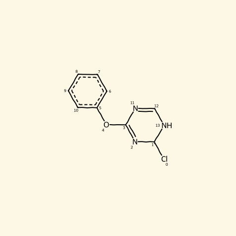 Cl[C]1N=C(Oc2ccccc2)N=CN1